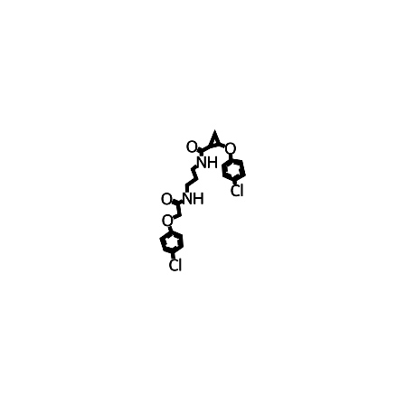 O=C(COc1ccc(Cl)cc1)NCCCNC(=O)C1CC1Oc1ccc(Cl)cc1